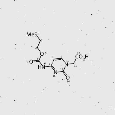 CSCCOC(=O)Nc1ccn(CC(=O)O)c(=O)n1